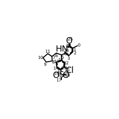 Cc1ccc(C(CC2CCCC2)c2ccc(S(C)(=O)=O)c(Cl)c2)[nH]c1=O